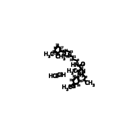 CCCc1nc(C(=O)NCCCN2CCN(c3cccc(C)c3C)CC2)c(C)n1-c1ccc(OC)cc1.Cl.Cl